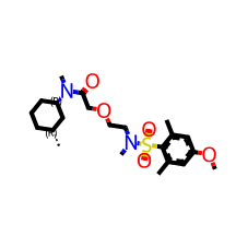 COc1cc(C)c(S(=O)(=O)N(C)CCOCC(=O)N(C)[C@@H]2CCC[C@@H](C)C2)c(C)c1